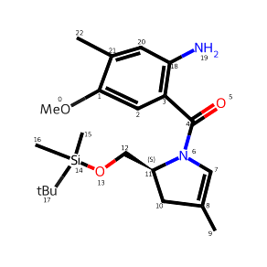 COc1cc(C(=O)N2C=C(C)C[C@H]2CO[Si](C)(C)C(C)(C)C)c(N)cc1C